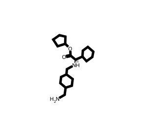 NCC1CCC(CN[C@H](C(=O)OC2CCCC2)C2CCCCC2)CC1